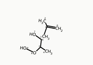 C=C(C)C.CC(CO)OO